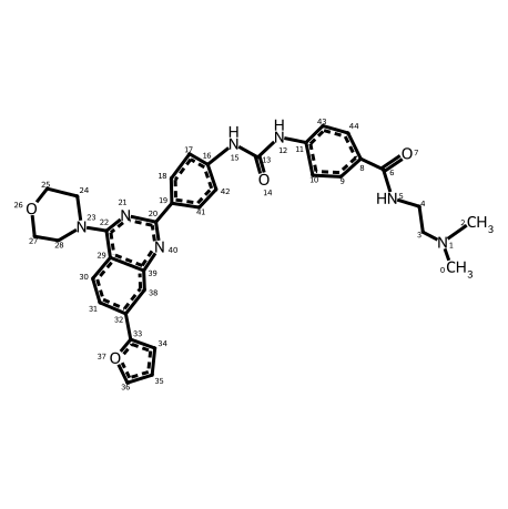 CN(C)CCNC(=O)c1ccc(NC(=O)Nc2ccc(-c3nc(N4CCOCC4)c4ccc(-c5ccco5)cc4n3)cc2)cc1